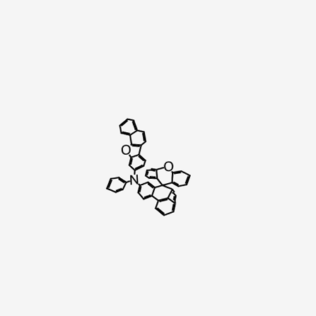 c1ccc(N(c2ccc3c(c2)C2(c4ccccc4Oc4ccccc42)c2cccc4cccc-3c24)c2ccc3c(c2)oc2c4ccccc4ccc32)cc1